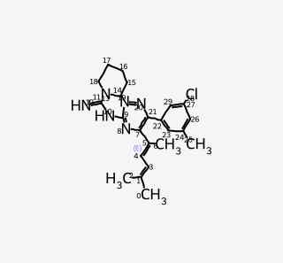 CC(C)=C/C=C(\C)c1nc(NC(=N)N2CCCCC2)nnc1-c1cc(C)cc(Cl)c1